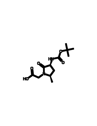 C[C@@H]1C[C@H](NC(=O)OC(C)(C)C)C(=O)N1CC(=O)O